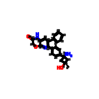 C[C@]1(O)C[C@](N)(c2ccc(-c3nc4c(cc3-c3ccccc3)NC(=O)CO4)cc2)C1